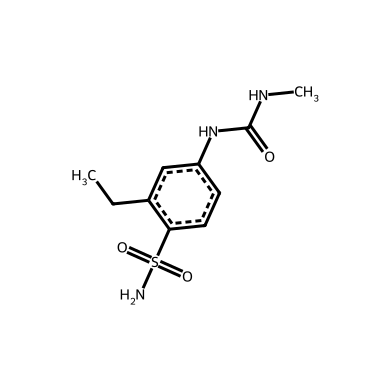 CCc1cc(NC(=O)NC)ccc1S(N)(=O)=O